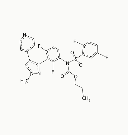 CCCOC(=O)N(c1ccc(F)c(-c2nn(C)cc2-c2ccncc2)c1F)S(=O)(=O)c1cc(F)ccc1F